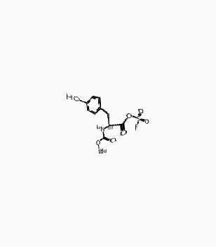 CC(C)(C)OC(=O)N[C@@H](Cc1ccc(O)cc1)C(=O)OS(=O)(=O)F